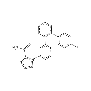 NC(=O)c1ncnn1-c1cccc(-c2ccccc2-c2ccc(F)cc2)c1